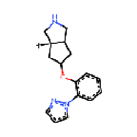 c1ccc(-n2cccn2)c(OC2CC3CNC[C@H]3C2)c1